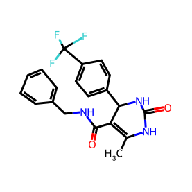 CC1=C(C(=O)NCc2ccccc2)C(c2ccc(C(F)(F)F)cc2)NC(=O)N1